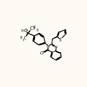 O=c1c2ccccc2nc(Cc2cccs2)n1-c1ccc(C(O)(C(F)(F)F)C(F)(F)F)cc1